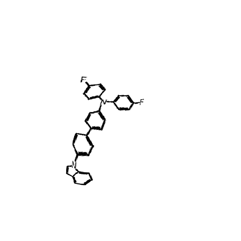 Fc1ccc(N(c2ccc(F)cc2)c2ccc(-c3ccc(-n4ccc5ccccc54)cc3)cc2)cc1